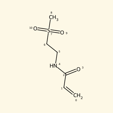 C=CC(=O)NCCS(C)(=O)=O